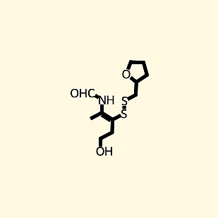 CC(NC=O)=C(CCO)SSCC1CCCO1